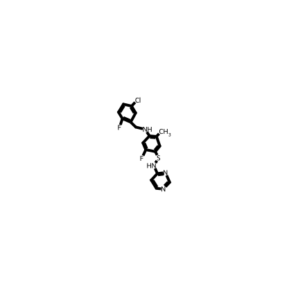 Cc1cc(SNc2ccncn2)c(F)cc1NCc1cc(Cl)ccc1F